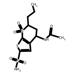 CCCC1CC(NC(C)=O)c2cc(S(N)(=O)=O)sc2S1(=O)=O